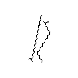 CCCC/C=C/CCCCCCCCC/C=C/COC(C)=O.CCCC/C=C\CCCCCCCC/C=C\CCOC(C)=O